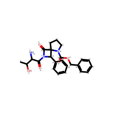 CC(O)C(N)C(=O)N1C(=O)C2(CCCN2C(=O)OCc2ccccc2)C1c1ccccc1